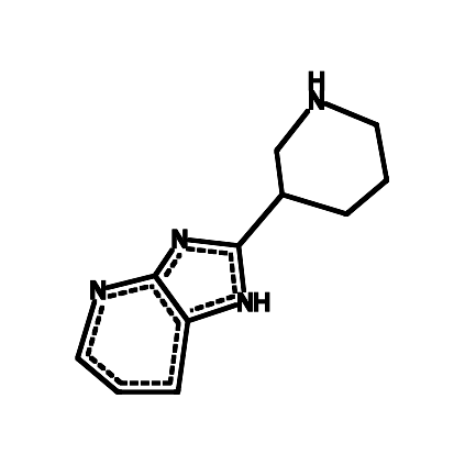 c1cnc2nc(C3CCCNC3)[nH]c2c1